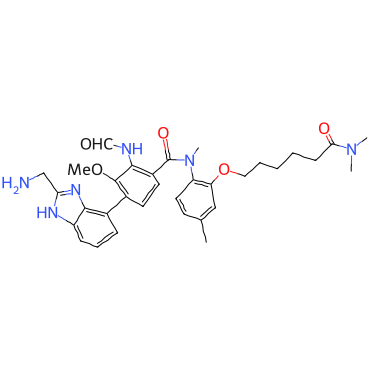 COc1c(-c2cccc3[nH]c(CN)nc23)ccc(C(=O)N(C)c2ccc(C)cc2OCCCCCC(=O)N(C)C)c1NC=O